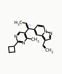 C=Cc1cnn2ccc(/C(=C/C)c3cnc(C4CCC4)nc3C)cc12